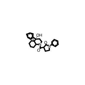 O=C1C(C(=O)N2CC[C@](O)(c3ccccc3)[C@H]3CCCCC32)CCN1c1ccccc1